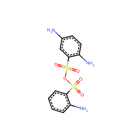 Nc1ccc(N)c(S(=O)(=O)OS(=O)(=O)c2ccccc2N)c1